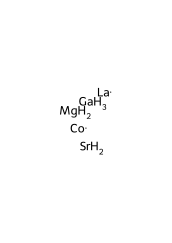 [Co].[GaH3].[La].[MgH2].[SrH2]